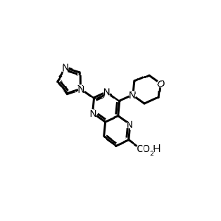 O=C(O)c1ccc2nc(-n3ccnc3)nc(N3CCOCC3)c2n1